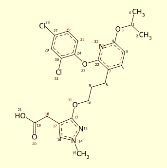 CC(C)Oc1ccc(CCCOc2nn(C)cc2CC(=O)O)c(Oc2ccc(Cl)cc2Cl)n1